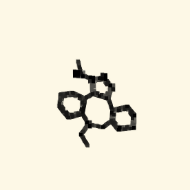 CCN1Cc2ccccc2-c2nnn(NC)c2-c2ccccc21